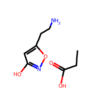 CCC(=O)O.NCCc1cc(O)no1